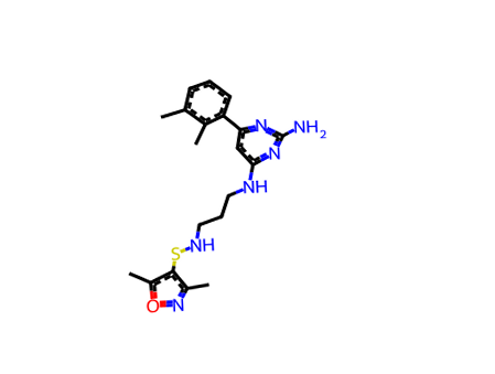 Cc1cccc(-c2cc(NCCCNSc3c(C)noc3C)nc(N)n2)c1C